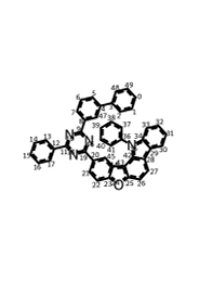 c1ccc(-c2cccc(-c3nc(-c4ccccc4)nc(-c4ccc5oc6ccc7c8ccccc8n(-c8ccccc8)c7c6c5c4)n3)c2)cc1